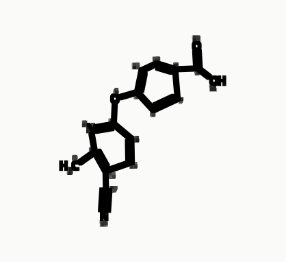 Cc1nc(Oc2ccc(C(=O)O)cc2)ccc1C#N